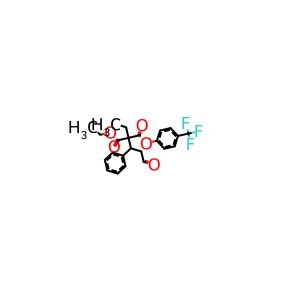 CCOC(=O)C(CC)(C(=O)Oc1ccc(C(F)(F)F)cc1)C(CC=O)c1ccccc1